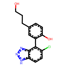 OCCCc1ccc(O)c(-c2c(Cl)ccc3[nH]nnc23)c1